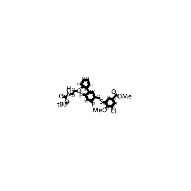 COC(=O)c1cc(Cl)c(OC)c(SCc2cc(-c3ccccc3OCCNC(=O)OC(C)(C)C)c(F)cc2F)c1